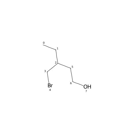 CCC(CBr)CCO